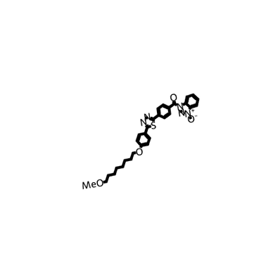 COCCCCCCCCOc1ccc(-c2nnc(-c3ccc(C(=O)n4n[n+]([O-])c5ccccc54)cc3)s2)cc1